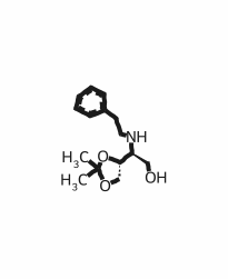 CC1(C)OC[C@@H]([C@H](CO)NCCc2ccccc2)O1